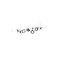 COc1c(-c2ccc(NC(C)=O)cc2)cccc1-c1cc(N2CCN(C(=O)OC(C)(C)C)CC2)no1